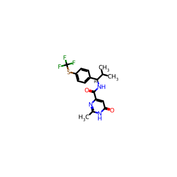 Cc1nc(C(=O)N[C@@H](c2ccc(SC(F)(F)F)cc2)C(C)C)cc(=O)[nH]1